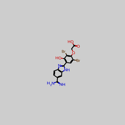 N=C(N)c1ccc2nc(-c3cc(Br)c(OCC(=O)O)c(Br)c3O)[nH]c2c1